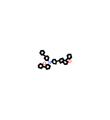 C1=C(c2ccc3c(ccc4oc5ccccc5c43)c2)CCC(N(c2ccc(-c3ccccc3)cc2)c2cccc3c2oc2ccccc23)=C1